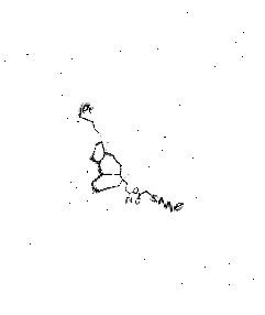 CC[C@H](CC[C@@]1(C)CCCC2C1CC[C@@]1(C)C2CC[C@@H]1CCCCC(C)C)OC(=O)CSC